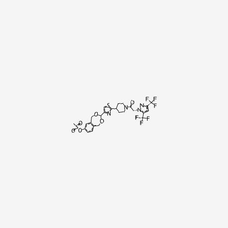 CS(=O)(=O)Oc1ccc2c(c1)COC(c1csc(C3CCN(C(=O)Cn4nc(C(F)(F)F)cc4C(F)(F)F)CC3)n1)OC2